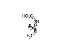 O=C(NCC1CCC(C(=O)O)CC1)c1ccc(N2C[C@@H](Oc3ccc(C(F)(F)F)cc3)C[C@H]2COC(F)F)cc1